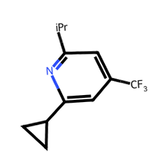 CC(C)c1cc(C(F)(F)F)cc(C2CC2)n1